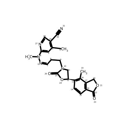 Cc1cc(N(C)/N=C\CCN2C[C@@H](c3ccc4c(c3C)COC4=O)OC2=O)ncc1C#N